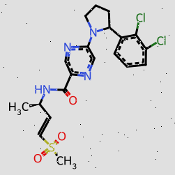 C[C@H](/C=C/S(C)(=O)=O)NC(=O)c1cnc(N2CCCC2c2cccc(Cl)c2Cl)cn1